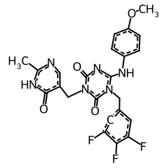 COc1ccc(Nc2nc(=O)n(Cc3cnc(C)[nH]c3=O)c(=O)n2Cc2cc(F)c(F)c(F)c2)cc1